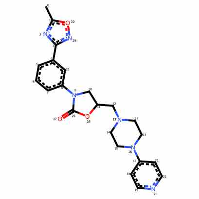 Cc1nc(-c2cccc(N3CC(CN4CCN(c5ccncc5)CC4)OC3=O)c2)no1